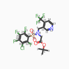 CC(C)(C)OC(=O)CN(Cc1cnccc1C(F)(F)F)S(=O)(=O)c1c(F)c(F)c(F)c(Cl)c1F